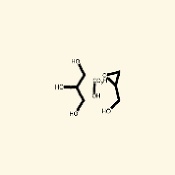 O=C(O)O.OCC(O)CO.OCC1CO1